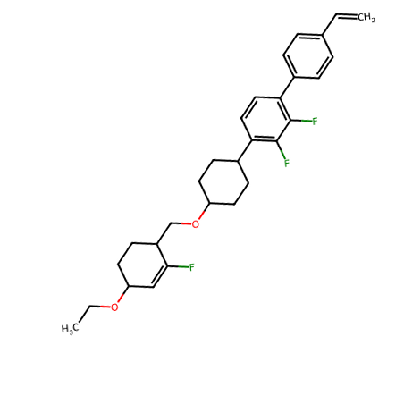 C=Cc1ccc(-c2ccc(C3CCC(OCC4CCC(OCC)C=C4F)CC3)c(F)c2F)cc1